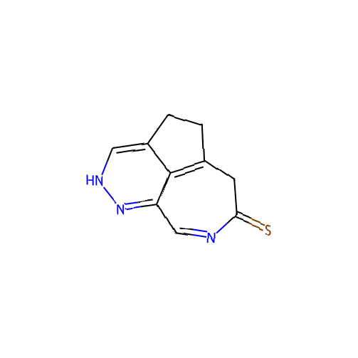 S=C1CC2=C3C(=CNN=C3C=N1)CC2